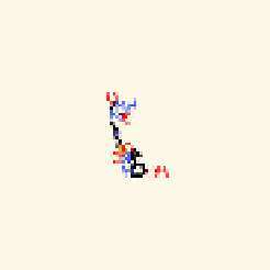 O=C1CN(C/C=C/CCS(=O)(=O)NC2(c3cccc(O)c3)CC2)C(=O)N1